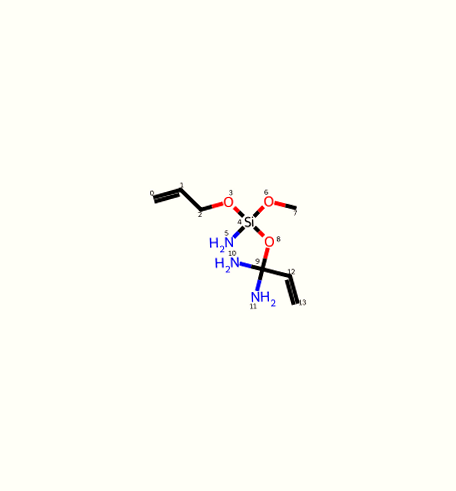 C=CCO[Si](N)(OC)OC(N)(N)C=C